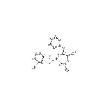 CC(=O)N1CC(=O)N(Cc2ccccn2)CC(OCc2cccc(F)c2)C1